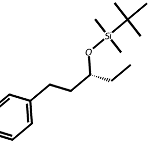 CC[C@H](CCc1ccccc1)O[Si](C)(C)C(C)(C)C